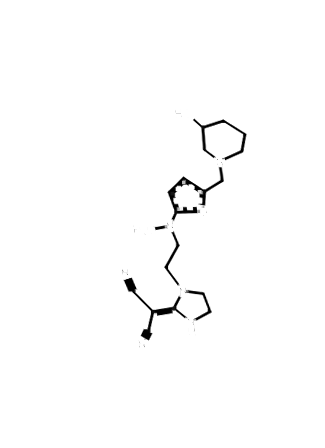 CN(CCN1CCNC1=C(C#N)C#N)c1ccc(CN2CCCC(O)C2)o1